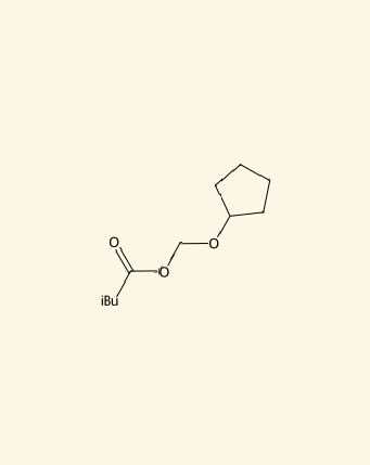 CCC(C)C(=O)OCOC1CCCC1